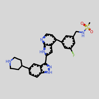 CS(=O)(=O)NCc1cc(F)cc(-c2ccnc3[nH]c(-c4n[nH]c5ccc(C6CCNCC6)cc45)cc23)c1